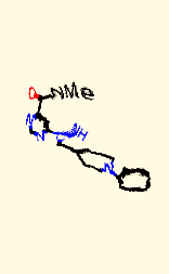 CNC(=O)c1cc(NCC2CCN(c3ccccc3)CC2)ncn1